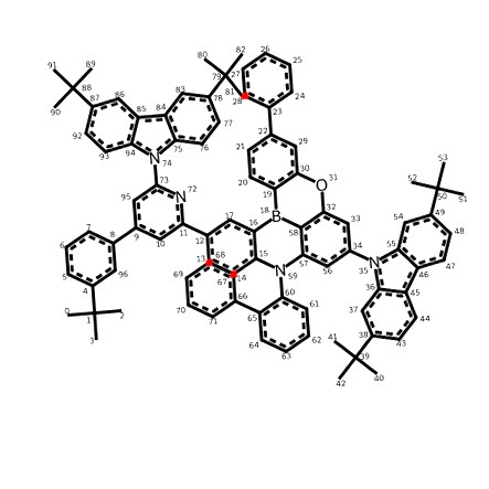 CC(C)(C)c1cccc(-c2cc(-c3ccc4c(c3)B3c5ccc(-c6ccccc6)cc5Oc5cc(-n6c7cc(C(C)(C)C)ccc7c7ccc(C(C)(C)C)cc76)cc(c53)N4c3ccccc3-c3ccccc3)nc(-n3c4ccc(C(C)(C)C)cc4c4cc(C(C)(C)C)ccc43)c2)c1